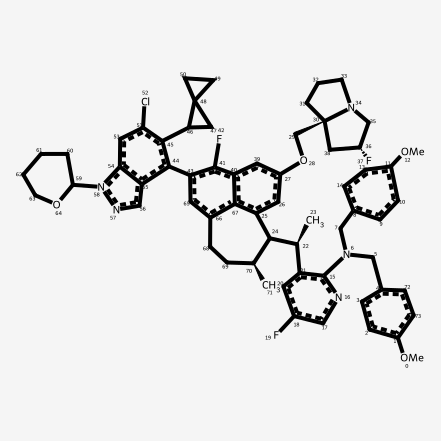 COc1ccc(CN(Cc2ccc(OC)cc2)c2ncc(F)cc2[C@H](C)C2c3cc(OC[C@@]45CCCN4C[C@H](F)C5)cc4c(F)c(-c5c(C6CC67CC7)c(Cl)cc6c5cnn6C5CCCCO5)cc(c34)CC[C@@H]2C)cc1